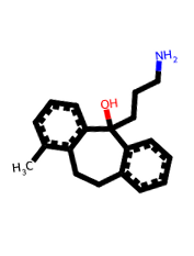 Cc1cccc2c1CCc1ccccc1C2(O)CCCN